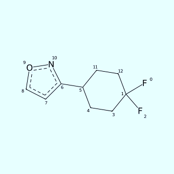 FC1(F)CCC(c2ccon2)CC1